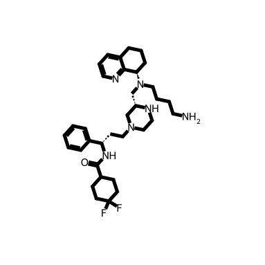 NCCCCN(C[C@H]1CN(CC[C@H](NC(=O)C2CCC(F)(F)CC2)c2ccccc2)CCN1)[C@H]1CCCc2cccnc21